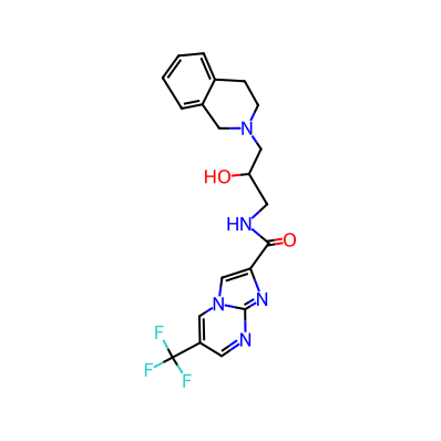 O=C(NCC(O)CN1CCc2ccccc2C1)c1cn2cc(C(F)(F)F)cnc2n1